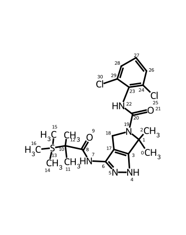 CC1(C)c2[nH]nc(NC(=O)C(C)(C)S(C)(C)C)c2CN1C(=O)Nc1c(Cl)cccc1Cl